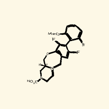 COc1cccc(Br)c1-c1c(F)cc2c(c1F)OC[C@H]1CN(C(=O)O)CCN1C2